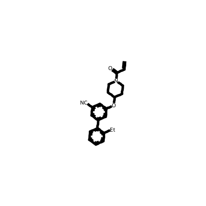 C=CC(=O)N1CCC(Oc2cc(C#N)cc(-c3ccccc3CC)c2)CC1